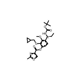 CC[C@H](NC(=O)OC(C)(C)C)c1ccc(OC(=O)c2coc(C)n2)c(OCC2CC2)c1OC